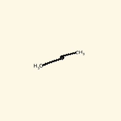 CCCCCCCCCCCCCCCCCC[n+]1ccc(CCCCCCCCCCCC)cc1